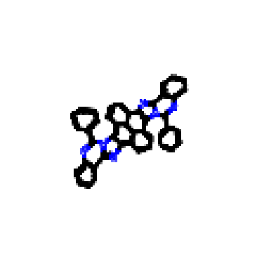 c1ccc(-c2nc3ccccc3c3nc4c5cccc6c5c5c(cccc5c4n23)c2nc3c4ccccc4nc(-c4ccccc4)n3c62)cc1